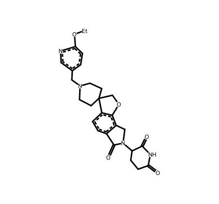 CCOc1ccc(CN2CCC3(CC2)COc2c3ccc3c2CN(C2CCC(=O)NC2=O)C3=O)cn1